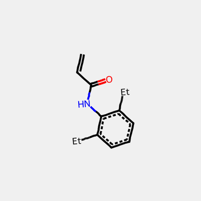 C=CC(=O)Nc1c(CC)cccc1CC